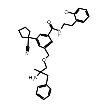 CC(N)(COCc1cc(C(=O)NCCc2ccccc2Cl)cc(C2(C#N)CCCC2)c1)Cc1ccccc1